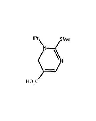 CSC1=NC=C(C(=O)O)CN1C(C)C